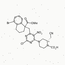 COC(=O)C1(Cc2nc(Cl)nc(N3CCN(C(=O)O)[C@@H](CC#N)C3)c2[N+](=O)[O-])CCCc2c(Br)cccc21